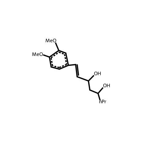 CCCC(O)CC(O)/C=C/c1ccc(OC)c(OC)c1